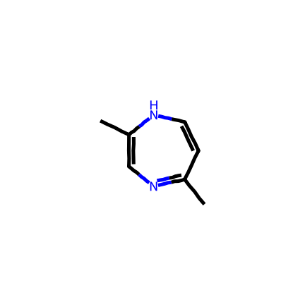 CC1=CN=C(C)C=CN1